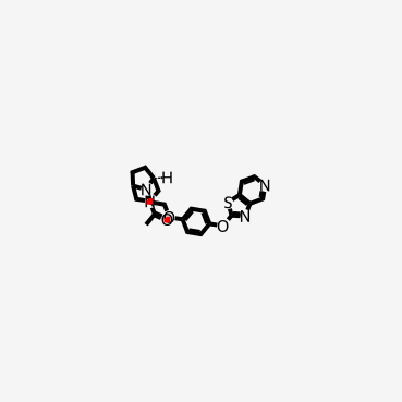 CC(=O)N1CC2CC[C@@H](C1)N2CCOc1ccc(Oc2nc3cnccc3s2)cc1